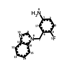 Nc1ccc(F)c(Cn2cnc3ccccc32)c1